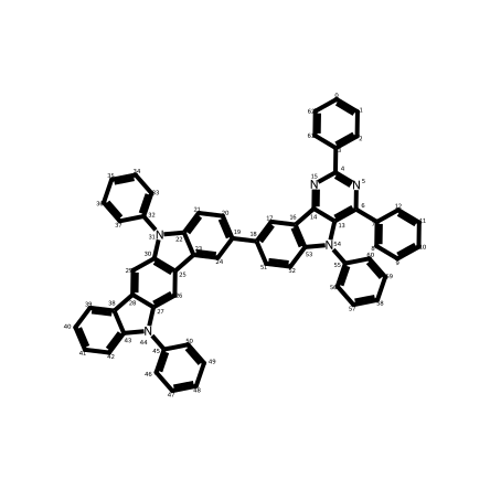 c1ccc(-c2nc(-c3ccccc3)c3c(n2)c2cc(-c4ccc5c(c4)c4cc6c(cc4n5-c4ccccc4)c4ccccc4n6-c4ccccc4)ccc2n3-c2ccccc2)cc1